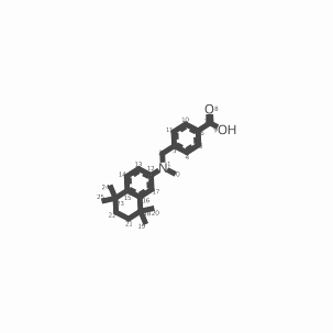 CN(Cc1ccc(C(=O)O)cc1)c1ccc2c(c1)C(C)(C)CCC2(C)C